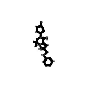 CC1(C)CN(C2C=CC(F)=CC2)C(=O)c2cc(COc3ccccc3)nn21